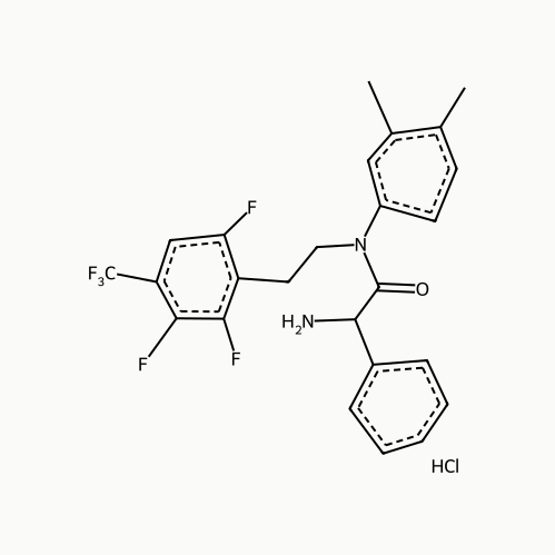 Cc1ccc(N(CCc2c(F)cc(C(F)(F)F)c(F)c2F)C(=O)C(N)c2ccccc2)cc1C.Cl